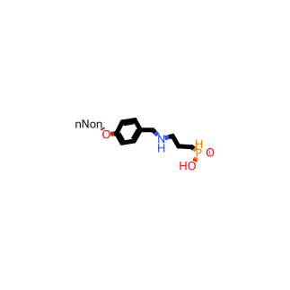 CCCCCCCCCOc1ccc(CNCCC[PH](=O)O)cc1